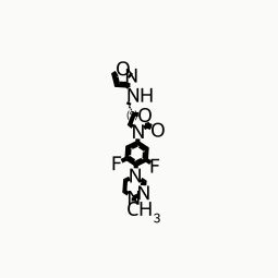 CN1CCN(c2c(F)cc(N3C[C@H](CNc4ccon4)OC3=O)cc2F)C=N1